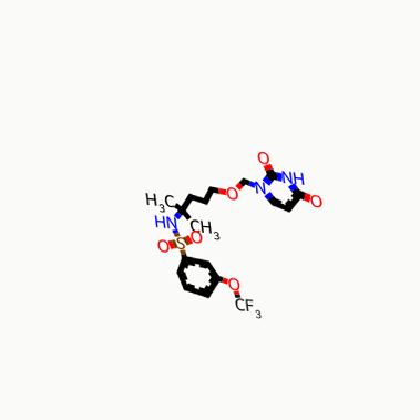 CC(C)(CCCOCn1ccc(=O)[nH]c1=O)NS(=O)(=O)c1cccc(OC(F)(F)F)c1